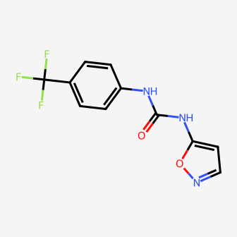 O=C(Nc1ccc(C(F)(F)F)cc1)Nc1ccno1